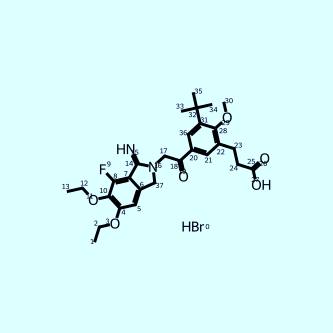 Br.CCOc1cc2c(c(F)c1OCC)C(=N)N(CC(=O)c1cc(CCC(=O)O)c(OC)c(C(C)(C)C)c1)C2